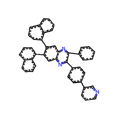 c1ccc(-c2nc3cc(-c4cccc5ccccc45)c(-c4cccc5ccccc45)cc3nc2-c2ccc(-c3cccnc3)cc2)cc1